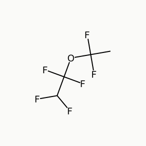 CC(F)(F)OC(F)(F)C(F)F